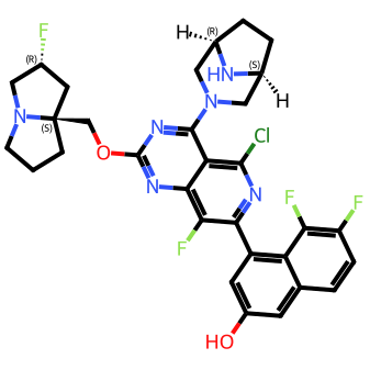 Oc1cc(-c2nc(Cl)c3c(N4C[C@H]5CC[C@@H](C4)N5)nc(OC[C@@]45CCCN4C[C@H](F)C5)nc3c2F)c2c(F)c(F)ccc2c1